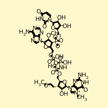 COCC[C@H]1[C@@H](O)[C@H](n2c[n+](C)c3c(=O)[nH]c(N)nc32)O[C@@H]1COP(=O)(O)NP(=O)(O)OP(=O)(O)OCC1O[C@@H](n2cnc3c(N)ncnc32)[C@H](OC)[C@@H]1P(=O)([O-])OC[C@H]1O[C@@H](n2ccc(=O)[nH]c2=O)[C@H](O)[C@@H]1O